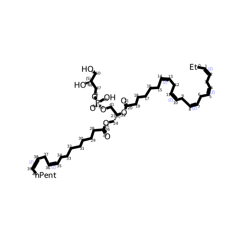 CC/C=C\C/C=C\C/C=C\C/C=C\C/C=C\CCCCCC(=O)O[C@H](COC(=O)CCCCCCC/C=C\C/C=C\CCCCC)COP(=O)(O)OC[C@@H](O)CO